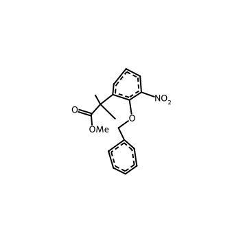 COC(=O)C(C)(C)c1cccc([N+](=O)[O-])c1OCc1ccccc1